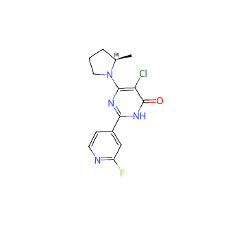 C[C@@H]1CCCN1c1nc(-c2ccnc(F)c2)[nH]c(=O)c1Cl